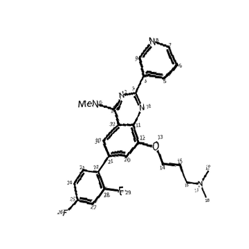 CNc1nc(-c2cccnc2)nc2c(OCCCN(C)C)cc(-c3ccc(F)cc3F)cc12